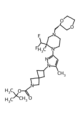 Cc1cc(N2CCN(C[C@@H]3COCCO3)C[C@@]2(C)C(F)F)nn1C1CC2(C1)CN(C(=O)OC(C)(C)C)C2